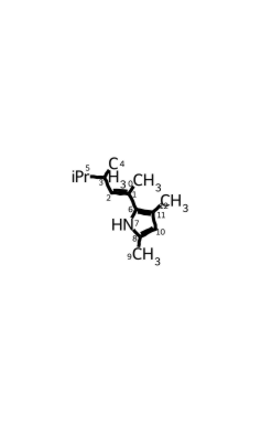 C/C(=C\C(C)C(C)C)c1[nH]c(C)cc1C